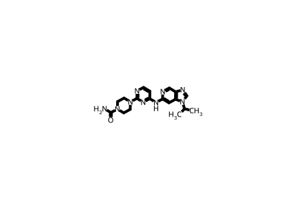 CC(C)n1cnc2cnc(Nc3ccnc(N4CCN(C(N)=O)CC4)n3)cc21